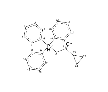 O=C(C[PH](c1ccccc1)(c1ccccc1)c1ccccc1)C1CC1